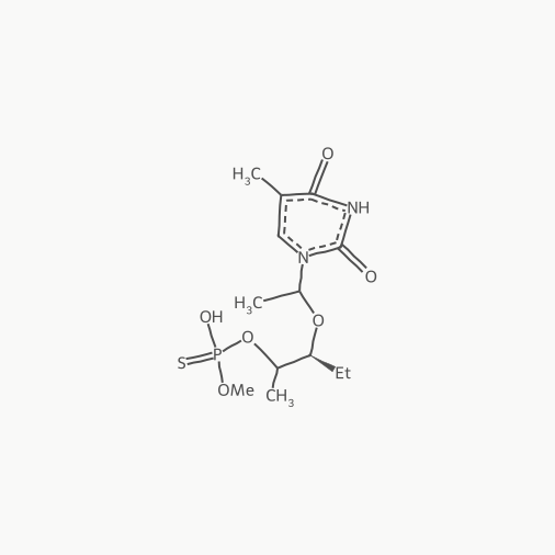 CC[C@H](OC(C)n1cc(C)c(=O)[nH]c1=O)C(C)OP(O)(=S)OC